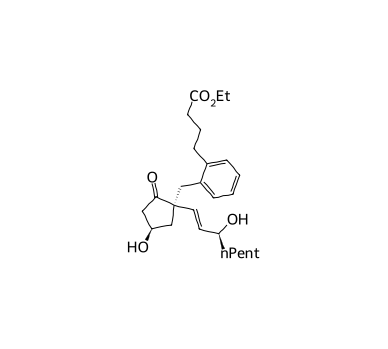 CCCCC[C@H](O)/C=C/[C@@]1(Cc2ccccc2CCCC(=O)OCC)C[C@@H](O)CC1=O